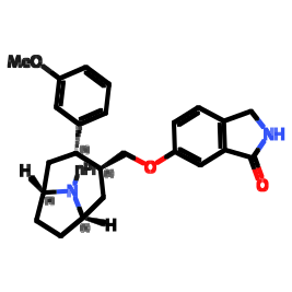 CCCN1[C@@H]2CC[C@H]1C[C@H](COc1ccc3c(c1)C(=O)NC3)[C@@H](c1cccc(OC)c1)C2